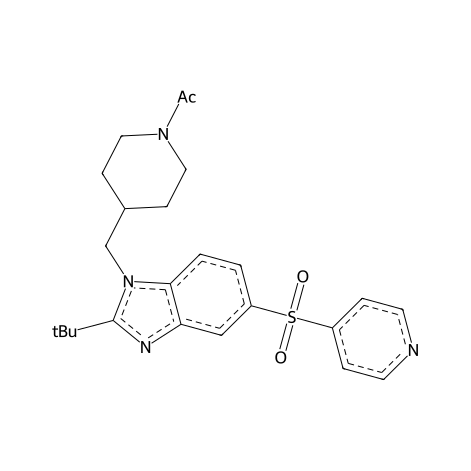 CC(=O)N1CCC(Cn2c(C(C)(C)C)nc3cc(S(=O)(=O)c4ccncc4)ccc32)CC1